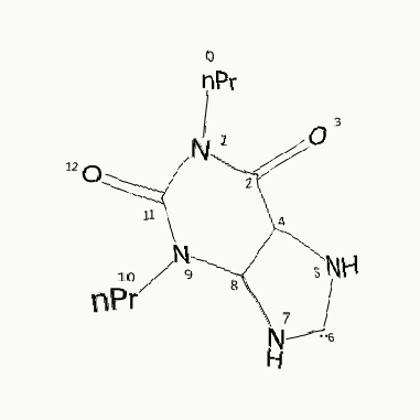 CCCN1C(=O)C2N[C]NC2N(CCC)C1=O